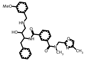 COc1cccc(CNCC(O)C(Cc2ccccc2)NC(=O)c2cccc(C(=O)N(C)Cc3nc(C)co3)c2)c1